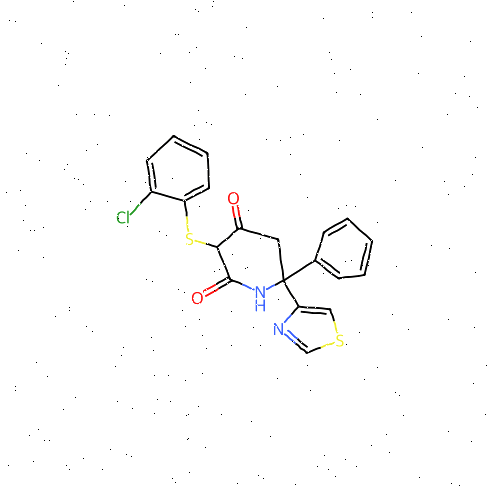 O=C1CC(c2ccccc2)(c2cscn2)NC(=O)C1Sc1ccccc1Cl